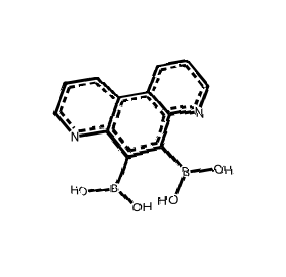 OB(O)c1c(B(O)O)c2ncccc2c2cccnc12